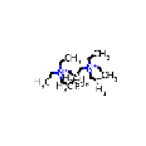 CC[N+](CC)(CC)CC.CC[N+](CC)(CC)CC.[B+3]